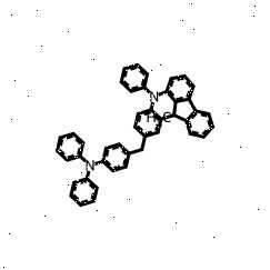 CC12c3ccccc3-c3cccc(c31)N(c1ccccc1)c1ccc(Cc3ccc(N(c4ccccc4)c4ccccc4)cc3)cc12